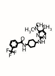 Cc1cnc(NC2CCC(NC(=O)c3cccc(C(F)(F)F)c3)CC2)nc1N(C)C